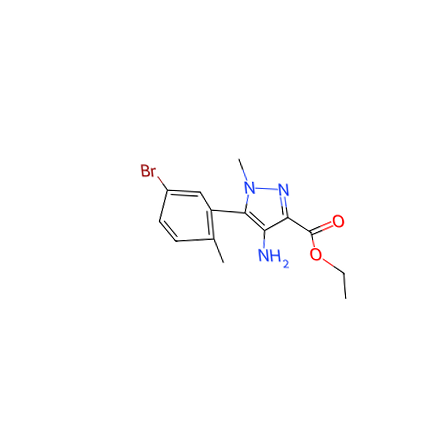 CCOC(=O)c1nn(C)c(-c2cc(Br)ccc2C)c1N